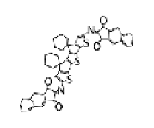 O=c1c(=Nc2cc3c(s2)-c2sc4c(c2C32CCCCC2)C2(CCCCC2)c2cc(N=c3c(=O)c5cc6ccccc6cc5c3=O)sc2-4)c(=O)c2cc3ccccc3cc12